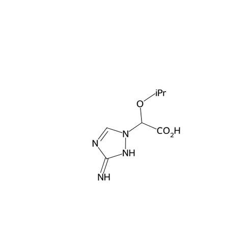 CC(C)OC(C(=O)O)n1cnc(=N)[nH]1